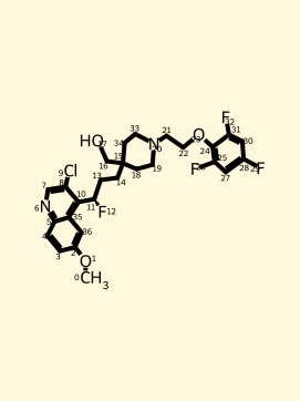 COc1ccc2ncc(Cl)c([C@H](F)CCC3(CO)CCN(CCOc4c(F)cc(F)cc4F)CC3)c2c1